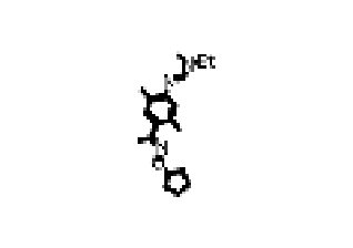 CCN(C)C=Nc1cc(C)c(C(C)=NOC2CCCC2)cc1C